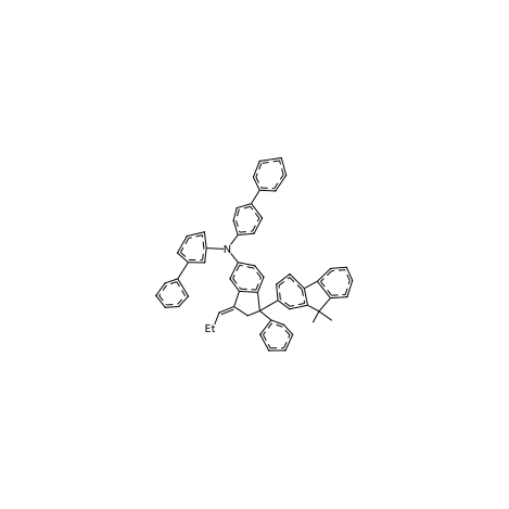 CC/C=C1\CC(c2ccccc2)(c2ccc3c(c2)C(C)(C)c2ccccc2-3)c2ccc(N(c3ccc(-c4ccccc4)cc3)c3cccc(-c4ccccc4)c3)cc21